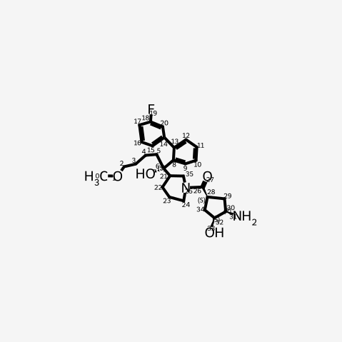 COCCCC[C@@](O)(c1ccccc1-c1cccc(F)c1)C1CCCN(C(=O)[C@H]2C[C@@H](N)[C@@H](O)C2)C1